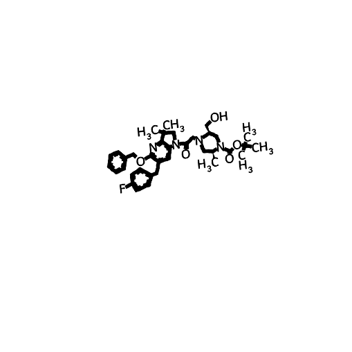 C[C@@H]1CN(CC(=O)N2CC(C)(C)c3nc(OCc4ccccc4)c(Cc4ccc(F)cc4)cc32)[C@@H](CO)CN1C(=O)OC(C)(C)C